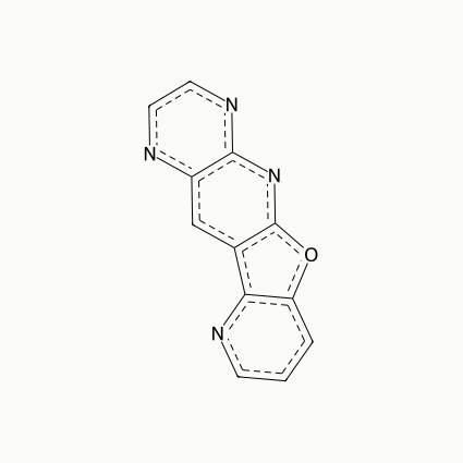 c1cnc2c(c1)oc1nc3nccnc3cc12